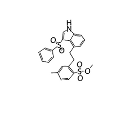 COS(=O)(=O)c1ccc(C)cc1CCc1cccc2[nH]cc(S(=O)(=O)c3ccccc3)c12